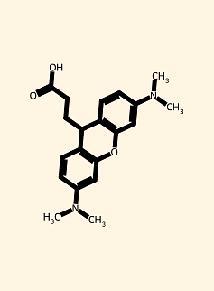 CN(C)c1ccc2c(c1)Oc1cc(N(C)C)ccc1C2CCC(=O)O